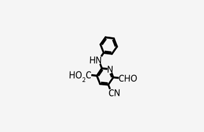 N#Cc1cc(C(=O)O)c(Nc2ccccc2)nc1C=O